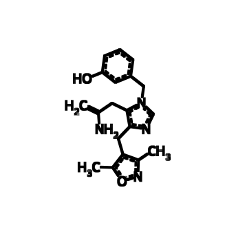 C=C(N)Cc1c(Cc2c(C)noc2C)ncn1Cc1cccc(O)c1